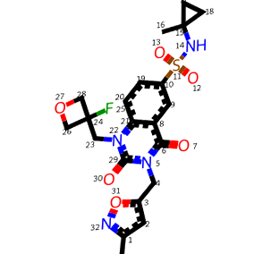 Cc1cc(Cn2c(=O)c3cc(S(=O)(=O)NC4(C)CC4)ccc3n(CC3(F)COC3)c2=O)on1